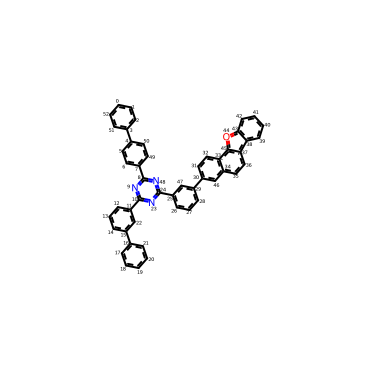 c1ccc(-c2ccc(-c3nc(-c4cccc(-c5ccccc5)c4)nc(-c4cccc(-c5ccc6c(ccc7c8ccccc8oc67)c5)c4)n3)cc2)cc1